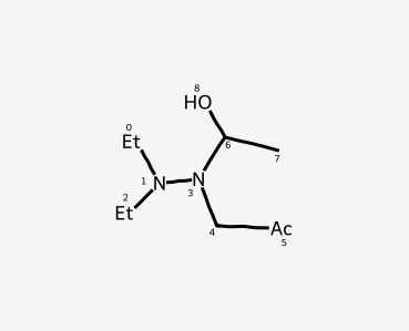 CCN(CC)N(CC(C)=O)C(C)O